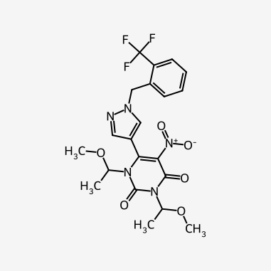 COC(C)n1c(-c2cnn(Cc3ccccc3C(F)(F)F)c2)c([N+](=O)[O-])c(=O)n(C(C)OC)c1=O